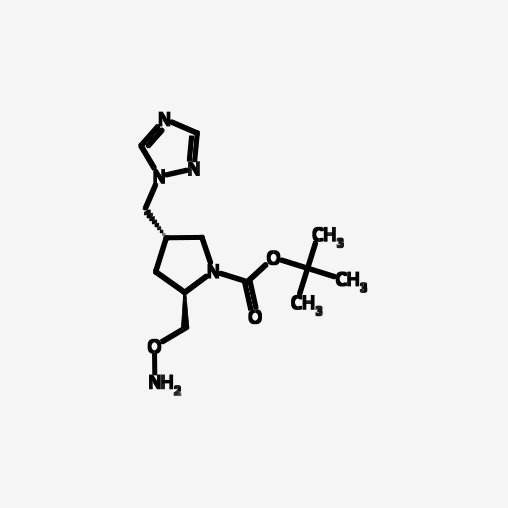 CC(C)(C)OC(=O)N1C[C@@H](Cn2cncn2)C[C@@H]1CON